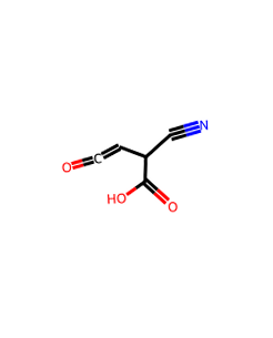 N#CC(C=C=O)C(=O)O